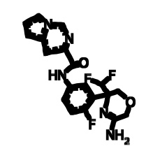 NC1=NC(c2cc(NC(=O)c3cc4cccn4cn3)ccc2F)(C(F)F)COC1